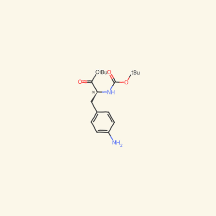 CC(C)COC(=O)[C@H](Cc1ccc(N)cc1)NC(=O)OC(C)(C)C